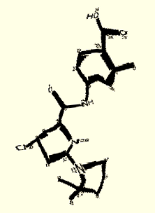 Cc1cc(NC(=O)c2cc(Cl)cc(N3CCCC3(C)C)n2)ccc1C(=O)O